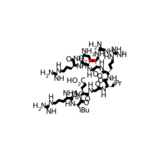 CC[C@H](C)[C@H](NC(=O)[C@H](CCCNC(=N)N)NC(C)=O)C(=O)N[C@@H](CCC(=O)O)C(=O)NCC(=O)N[C@@H](CC(C)C)C(=O)N[C@@H](CCCNC(=N)N)C(=O)N[C@@H](CCCCN)C(=O)N[C@@H](CCCNC(=N)N)C(=O)N[C@@H](CCCNC(=N)N)C(N)=O